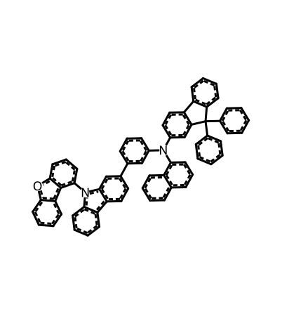 c1ccc(C2(c3ccccc3)c3ccccc3-c3ccc(N(c4cccc(-c5ccc6c7ccccc7n(-c7cccc8oc9ccccc9c78)c6c5)c4)c4cccc5ccccc45)cc32)cc1